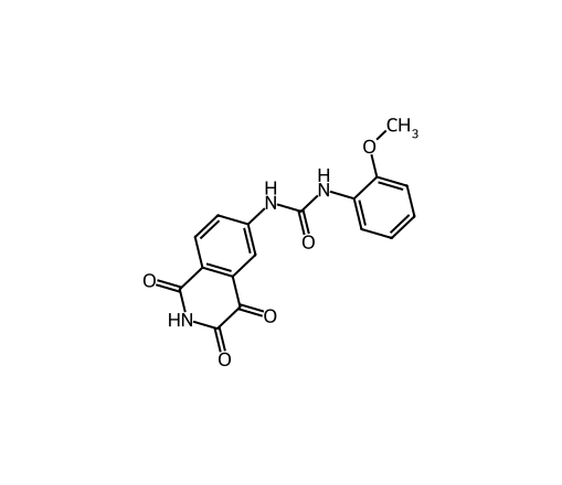 COc1ccccc1NC(=O)Nc1ccc2c(c1)C(=O)C(=O)NC2=O